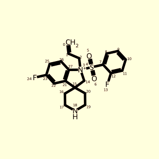 C=CC[N+]1(S(=O)(=O)c2ccccc2F)CC2(CCNCC2)c2cc(F)ccc21